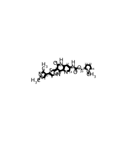 Cc1nn(C)cc1-c1cn2nc3c4ncc(NC(=O)OC[C@@H]5CCCN5C)cc4[nH]c(=O)c3c2s1